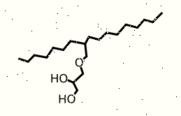 CCCCCCCCCC(CCCCCCC)COCC(O)CO